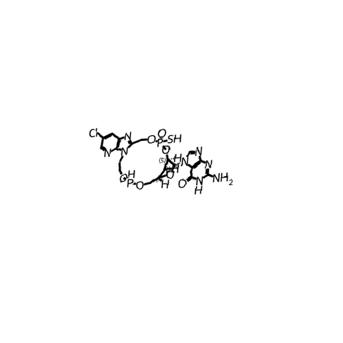 Nc1nc2ncn([C@@H]3O[C@@H]4COPOCCn5c(nc6cc(Cl)cnc65)COP(=O)(S)O[C@@H]3[C@@H]4F)c2c(=O)[nH]1